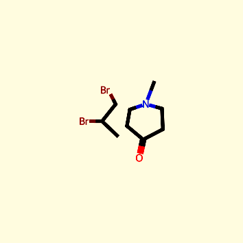 CC(Br)CBr.CN1CCC(=O)CC1